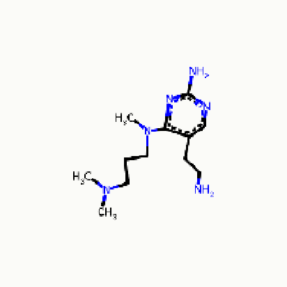 CN(C)CCCN(C)c1nc(N)ncc1CCN